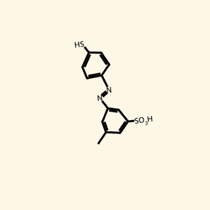 Cc1cc(N=Nc2ccc(S)cc2)cc(S(=O)(=O)O)c1